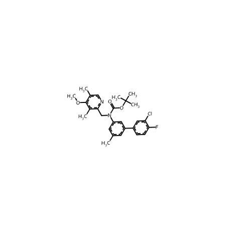 COc1c(C)cnc(CN(C(=O)OC(C)(C)C)c2cc(C)cc(-c3ccc(F)c(Cl)c3)c2)c1C